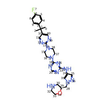 CC(C)(c1ccc(F)cc1)c1cnc(N2CCN(c3ncnc(Nc4cnn(C[C@@H]5CNCCO5)c4)n3)CC2)nc1